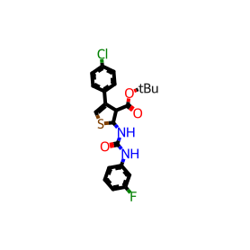 CC(C)(C)OC(=O)C1C(c2ccc(Cl)cc2)=CSC1NC(=O)Nc1cccc(F)c1